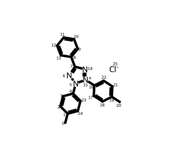 Cc1ccc(-n2nc(-c3ccccc3)n[n+]2-c2ccc(C)cc2)cc1.[Cl-]